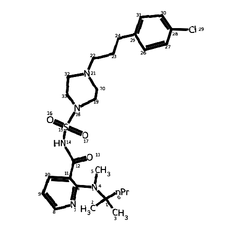 CCCC(C)(C)N(C)c1ncccc1C(=O)NS(=O)(=O)N1CCN(CCCc2ccc(Cl)cc2)CC1